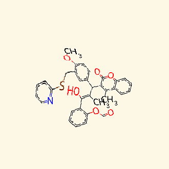 COc1ccc(C(/C(C)=C(\O)c2ccccc2OC=O)c2c(C)c3ccccc3oc2=O)cc1CSc1ccccn1